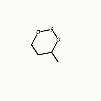 CC1CCOSO1